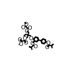 C=C(C)C(=O)Oc1ccc(-c2ccc(OCC(CC)(COC(=O)C(=O)OC)COC(=O)C(=O)OC)c(OC(=O)C(=C)C)c2)cc1